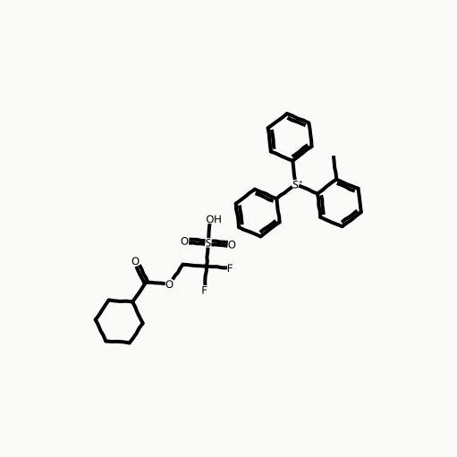 Cc1ccccc1[S+](c1ccccc1)c1ccccc1.O=C(OCC(F)(F)S(=O)(=O)O)C1CCCCC1